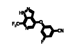 N#Cc1cc(F)cc(Oc2cnc(C(F)(F)F)c3[nH]ncc23)c1